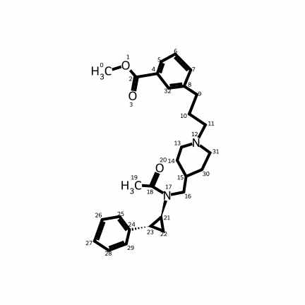 COC(=O)c1cccc(CCCN2CCC(CN(C(C)=O)[C@H]3C[C@@H]3c3ccccc3)CC2)c1